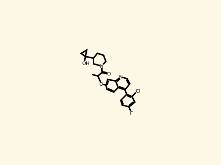 CC(Oc1ccc2c(-c3ccc(F)cc3Cl)ccnc2c1)C(=O)N1CCCC(C2(O)CC2)C1